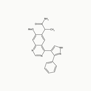 COc1cc2ncnc(-c3c[nH]nc3-c3ccccc3)c2cc1C(C)C(N)=O